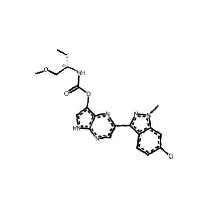 CC[C@@H](COC)NC(=O)Oc1c[nH]c2ncc(-c3nn(C)c4cc(Cl)ccc34)nc12